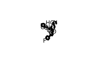 CN(C)C(=O)N1CCN(S(=O)(=O)c2ccc(-c3ccc(F)cc3)s2)[C@@H](C(=O)NOC2CCCCO2)C1